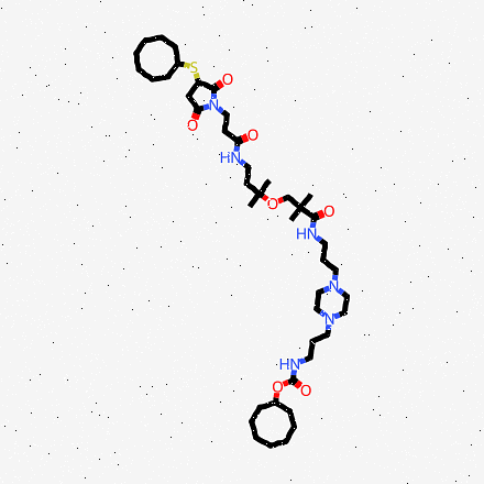 CC(C)(CCNC(=O)CCN1C(=O)CC(SC2CCCCCCC2)C1=O)OCC(C)(C)C(=O)NCCCN1CCN(CCCNC(=O)OC2CCCCCCC2)CC1